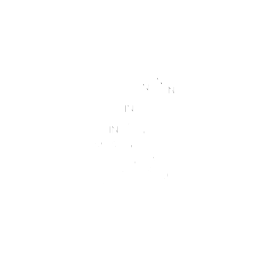 O=C(Nc1ccnnn1)NS(=O)(=O)c1cccc2c1OS(=O)(=O)CC2